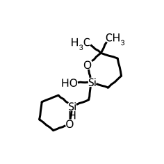 CC1(C)CCC[Si](O)(C[SiH]2CCCCO2)O1